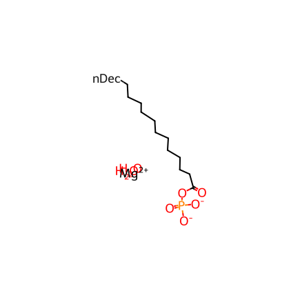 CCCCCCCCCCCCCCCCCCCCCC(=O)OP(=O)([O-])[O-].O.O.[Mg+2]